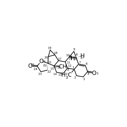 CC12CCC(=O)C=C1[C@@H]1C[C@@H]1C1C2CC[C@@]2(C)C1C1CC1[C@@]21CCC(=O)O1